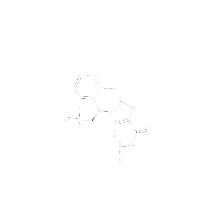 CP(C)(=O)C[C@@H](c1ccccc1F)c1c[nH]c2c(=O)[nH]c(N)nc12